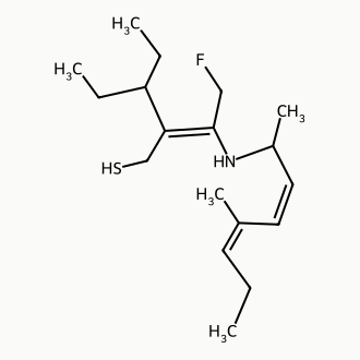 CC/C=C(C)\C=C/C(C)N/C(CF)=C(\CS)C(CC)CC